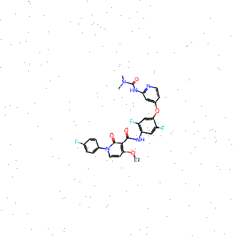 CCOc1ccn(-c2ccc(F)cc2)c(=O)c1C(=O)Nc1cc(F)c(Oc2ccnc(NC(=O)N(C)C)c2)cc1F